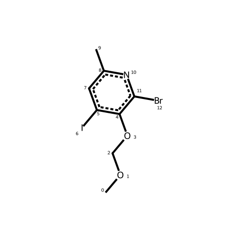 COCOc1c(I)cc(C)nc1Br